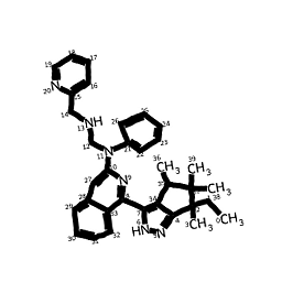 CCC1(C)c2n[nH]c(-c3nc(N(CNCc4ccccn4)c4ccccc4)cc4ccccc34)c2C(C)C1(C)C